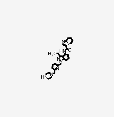 CCc1nn(Cc2cccc(CN3CCNCC3)n2)c2cccc(NC(=O)c3cnc4ccccn34)c12